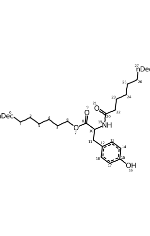 CCCCCCCCCCCCCCCCOC(=O)C(Cc1ccc(O)cc1)NC(=O)CCCCCCCCCCCCCCC